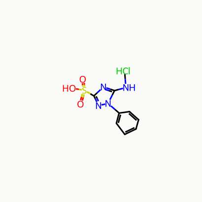 CNc1nc(S(=O)(=O)O)nn1-c1ccccc1.Cl